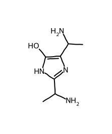 CC(N)c1nc(C(C)N)c(O)[nH]1